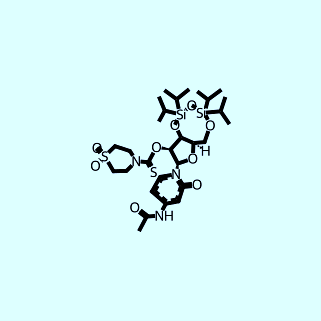 CC(=O)Nc1ccn([C@@H]2O[C@@H]3CO[Si](C(C)C)(C(C)C)O[Si](C(C)C)(C(C)C)OC3[C@@H]2OC(=S)N2CCS(=O)(=O)CC2)c(=O)c1